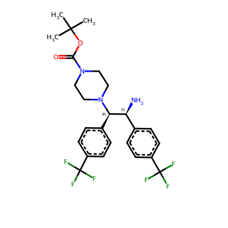 CC(C)(C)OC(=O)N1CCN([C@H](c2ccc(C(F)(F)F)cc2)[C@@H](N)c2ccc(C(F)(F)F)cc2)CC1